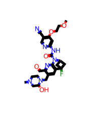 COCCOc1cc(NC(=O)N2c3nc(C=O)c(CN4CCN(C)CC4O)cc3C3(F)CC2C3)ncc1C#N